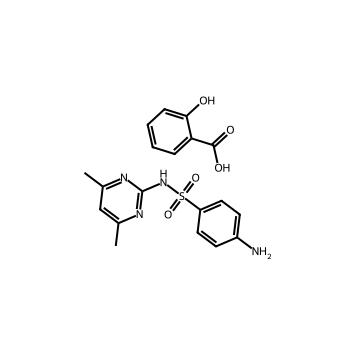 Cc1cc(C)nc(NS(=O)(=O)c2ccc(N)cc2)n1.O=C(O)c1ccccc1O